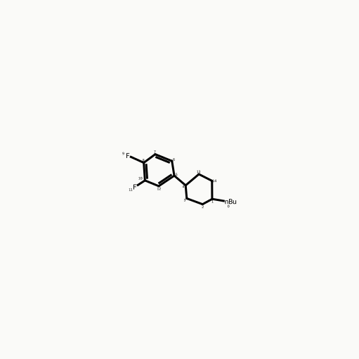 CCCCC1CCC(c2ccc(F)c(F)c2)CC1